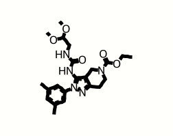 CCOC(=O)N1CCc2nn(-c3cc(C)cc(C)c3)c(NC(=O)NCC(OC)OC)c2C1